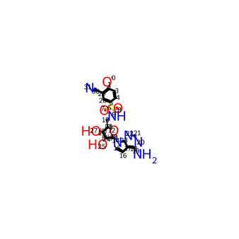 COc1ccc(S(=O)(=O)NC[C@H]2O[C@@H](n3ccc4c(N)ncnc43)[C@H](O)[C@@H]2O)cc1C#N